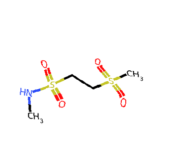 CNS(=O)(=O)CCS(C)(=O)=O